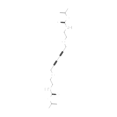 CC(C)OC(=O)NCCOCC#CC#CCOCCNC(=O)OC(C)C